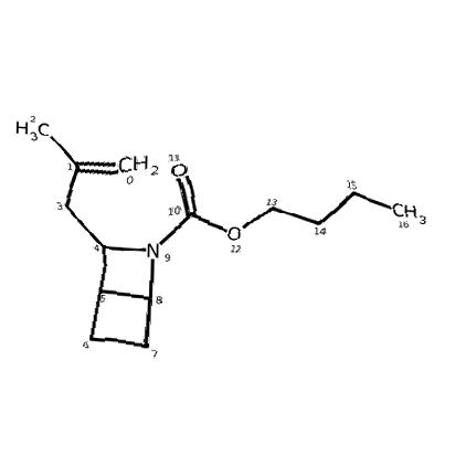 C=C(C)CC1C2CCC2N1C(=O)OCCCC